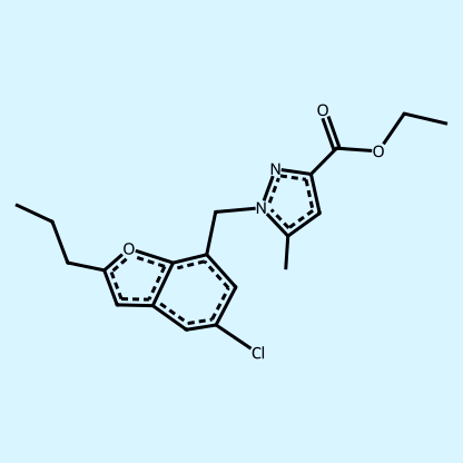 CCCc1cc2cc(Cl)cc(Cn3nc(C(=O)OCC)cc3C)c2o1